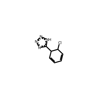 ClC1C=CC=CC1c1nnn[nH]1